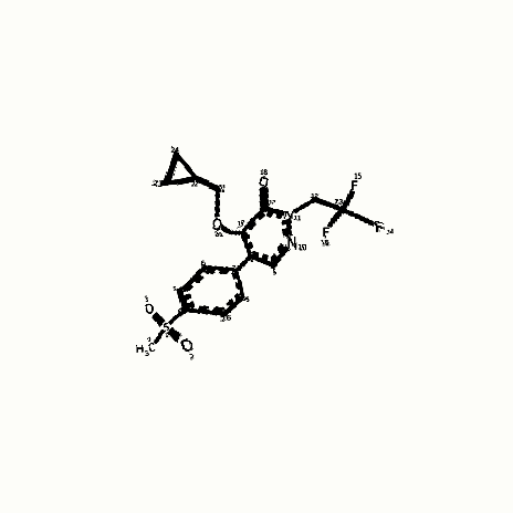 CS(=O)(=O)c1ccc(-c2cnn(CC(F)(F)F)c(=O)c2OCC2CC2)cc1